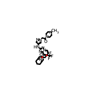 CN1CCN(C(=O)Cn2cc(Nc3nc4c(N5CC6CCCC(C5)N6C(=O)CCC(F)(F)F)cccn4n3)cn2)CC1